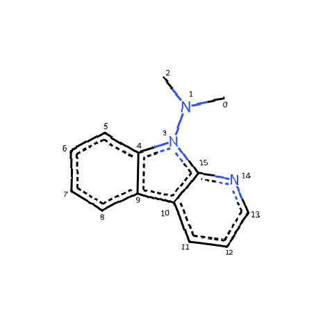 CN(C)n1c2ccccc2c2cccnc21